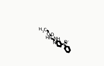 CCOC(=O)Nc1nc2ccc([S+]([O-])c3ccccc3)cc2[nH]1